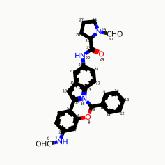 O=CNc1ccc2c(c1)OC(c1ccccc1)n1c-2cc2cc(NC(=O)C3CCCN3C=O)ccc21